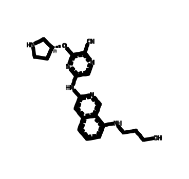 N#Cc1ncc(Nc2cc3cccc(NCCCO)c3cn2)nc1O[C@@H]1CCNC1